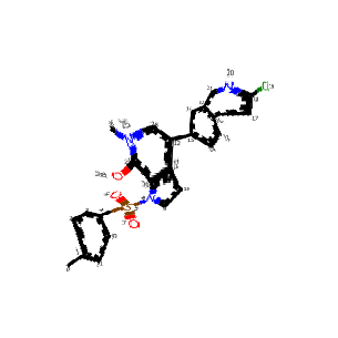 Cc1ccc(S(=O)(=O)n2ccc3c(-c4ccc5cc(Cl)ncc5c4)cn(C)c(=O)c32)cc1